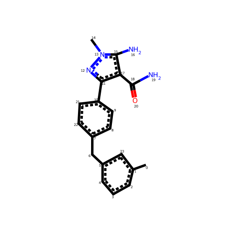 Cc1cccc(Cc2ccc(-c3nn(C)c(N)c3C(N)=O)cc2)c1